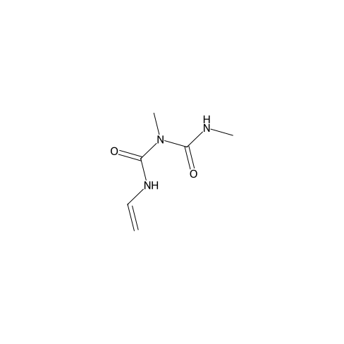 C=CNC(=O)N(C)C(=O)NC